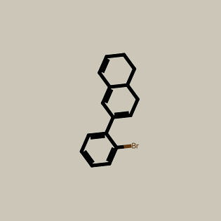 Brc1ccccc1C1=CCC2CCC=CC2=C1